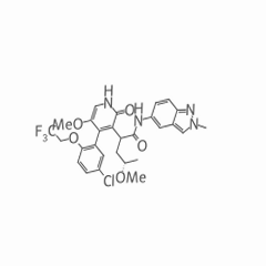 COc1c[nH]c(=O)c(C(C[C@H](C)OC)C(=O)Nc2ccc3nn(C)cc3c2)c1-c1cc(Cl)ccc1OCC(F)(F)F